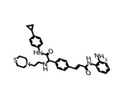 Nc1ccccc1NC(=O)/C=C/c1ccc(C(NCCN2CCSCC2)C(=O)Nc2ccc(C3CC3)cc2)cc1